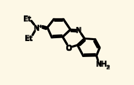 CC[N+](CC)=c1ccc2nc3ccc(N)cc3oc-2c1